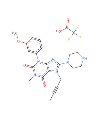 CC#CCn1c(N2CCNCC2)nc2c1c(=O)n(C)c(=O)n2-c1cccc(OC(F)(F)F)c1.O=C(O)C(F)(F)F